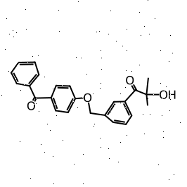 CC(C)(O)C(=O)c1cccc(COc2ccc(C(=O)c3ccccc3)cc2)c1